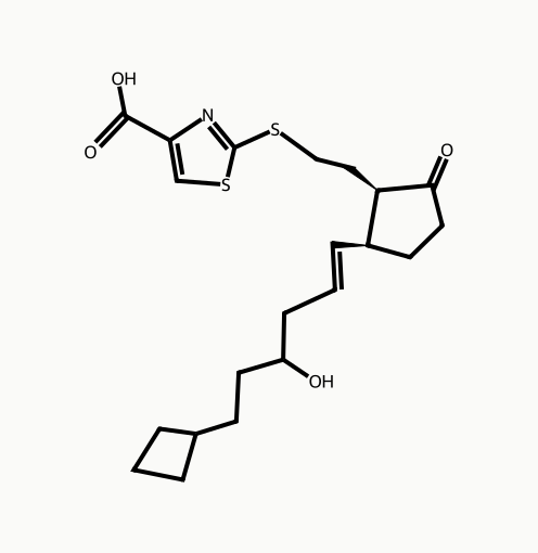 O=C(O)c1csc(SCC[C@H]2C(=O)CC[C@H]2C=CCC(O)CCC2CCC2)n1